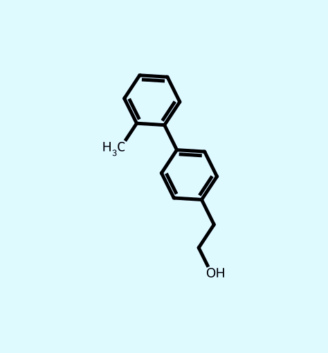 Cc1ccccc1-c1ccc(CCO)cc1